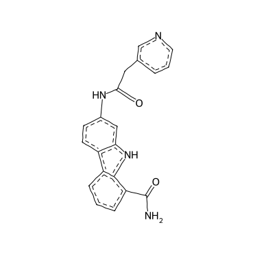 NC(=O)c1cccc2c1[nH]c1cc(NC(=O)Cc3cccnc3)ccc12